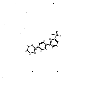 C[Si](C)(C)c1cc[c]c(-c2ccc(C3CCCCC3)cc2)c1